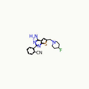 N#Cc1ccccc1-c1nc(N)c2cc(CN3CCC(F)CC3)sc2n1